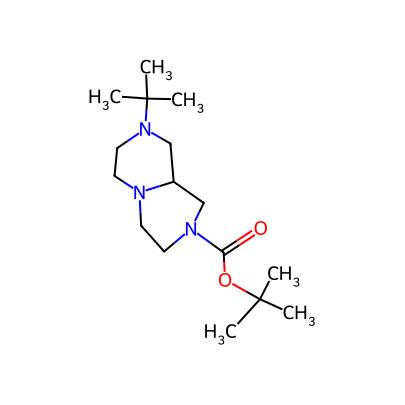 CC(C)(C)OC(=O)N1CCN2CCN(C(C)(C)C)CC2C1